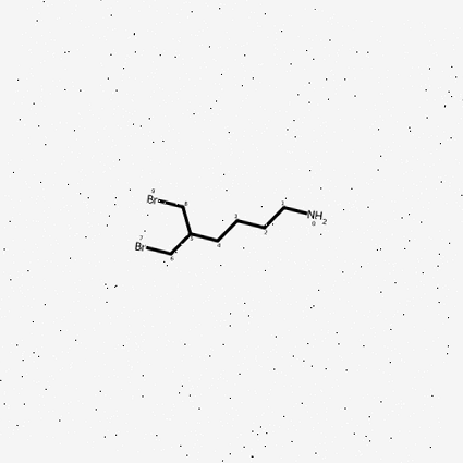 NCCCCC(CBr)CBr